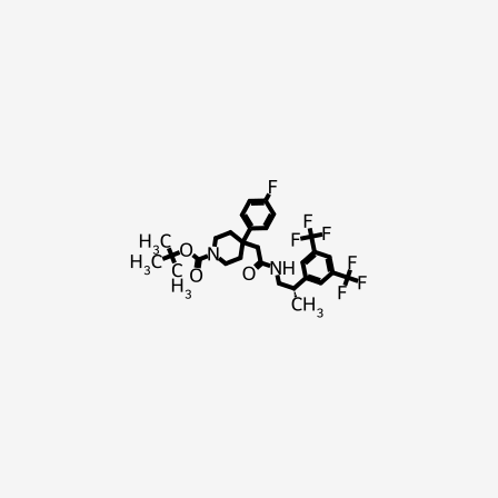 C[C@H](CNC(=O)CC1(c2ccc(F)cc2)CCN(C(=O)OC(C)(C)C)CC1)c1cc(C(F)(F)F)cc(C(F)(F)F)c1